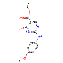 CCOC(=O)c1cnc(Nc2ccc(OCC)cc2)[nH]c1=O